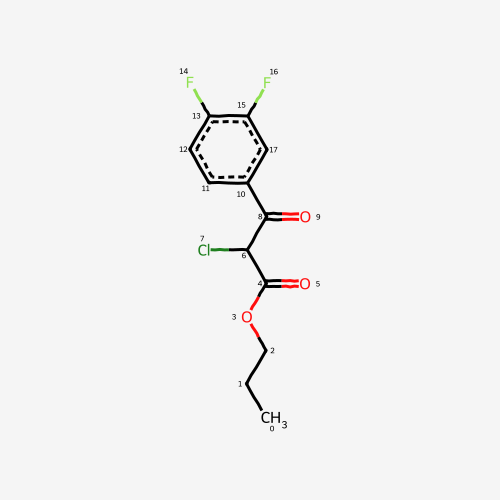 CCCOC(=O)C(Cl)C(=O)c1ccc(F)c(F)c1